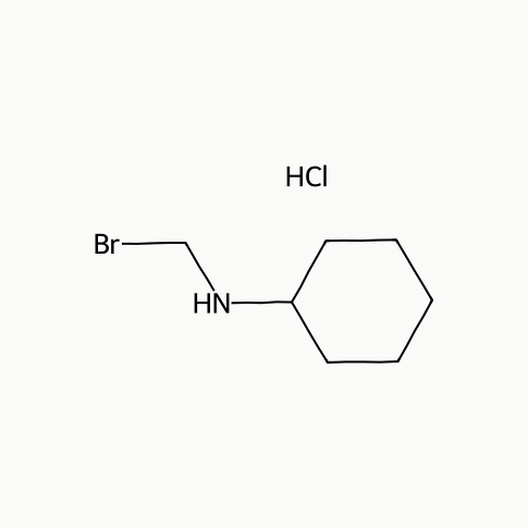 BrCNC1CCCCC1.Cl